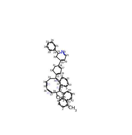 Cc1cccc2c(/C3=c4\cccc\c4=C(/C4=CC=C(C5=CC=NC(c6ccccc6)C5)CC4)C/C=C\C=C/C3C)cccc12